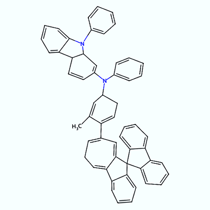 CC1=CC(N(C2=CC3C(C=C2)c2ccccc2N3c2ccccc2)c2ccccc2)CC=C1C1=CCC=C2C(=C1)C1(c3ccccc32)c2ccccc2-c2ccccc21